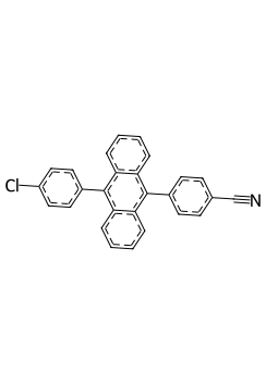 N#Cc1ccc(-c2c3ccccc3c(-c3ccc(Cl)cc3)c3ccccc23)cc1